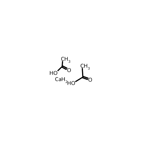 CC(=O)O.CC(=O)O.[CaH2]